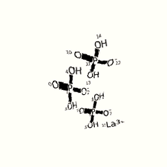 O=P([O-])(O)O.O=P([O-])(O)O.O=P([O-])(O)O.[La+3]